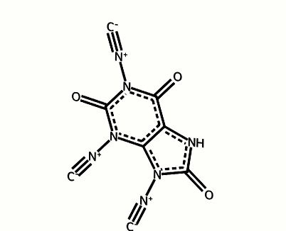 [C-]#[N+]n1c(=O)c2[nH]c(=O)n([N+]#[C-])c2n([N+]#[C-])c1=O